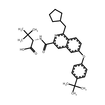 CC(C)(C)c1ccc(Oc2ccc3c(CC4CCCC4)nc(C(=O)N[C@H](C(=O)O)C(C)(C)C)cc3c2)cc1